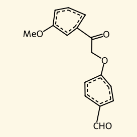 COc1cccc(C(=O)COc2ccc(C=O)cc2)c1